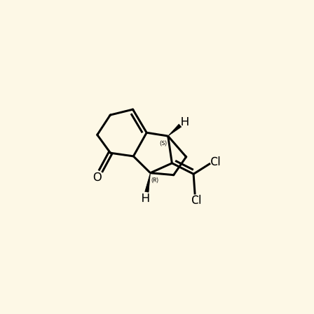 O=C1CCC=C2C1[C@H]1CC[C@@H]2C1=C(Cl)Cl